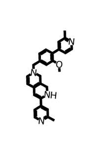 COc1cc(CN2C=CC3=C(CNC(c4ccnc(C)c4)=C3)C2)ccc1-c1ccnc(C)c1